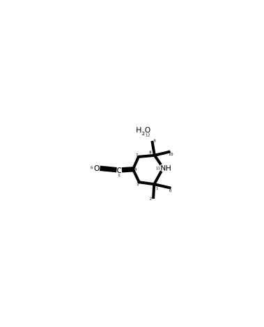 CC1(C)CC(=C=O)CC(C)(C)N1.O